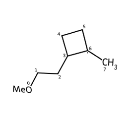 COCCC1CC[C]1C